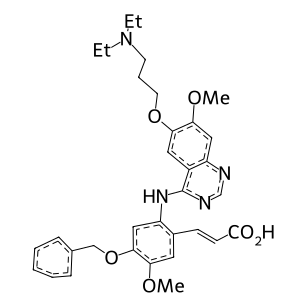 CCN(CC)CCCOc1cc2c(Nc3cc(OCc4ccccc4)c(OC)cc3/C=C/C(=O)O)ncnc2cc1OC